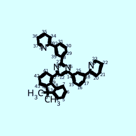 CC1(C)c2ccccc2-c2c(-c3cc(-c4cccc(-c5ccccn5)c4)nc(-c4cccc(-c5ccccn5)c4)n3)cccc21